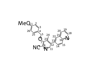 COc1ccc(COc2c(C#N)ncc(-c3ccc4ncccc4c3)c2C)cc1